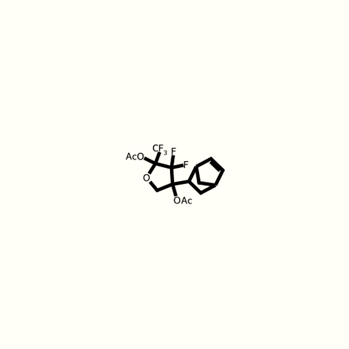 CC(=O)OC1(C2CC3C=CC2C3)COC(OC(C)=O)(C(F)(F)F)C1(F)F